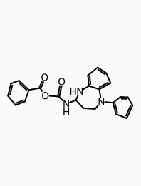 O=C(NC1CCN(c2ccccc2)c2ccccc2N1)OC(=O)c1ccccc1